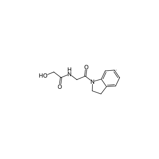 O=C(CO)NCC(=O)N1CCc2cc[c]cc21